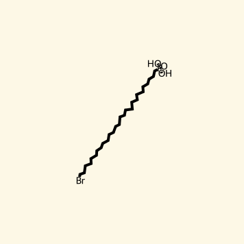 O=P(O)(O)CCCCCCCCCCCCCCCCCCCCCCCCCCCBr